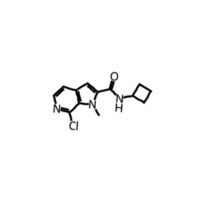 Cn1c(C(=O)NC2CCC2)cc2ccnc(Cl)c21